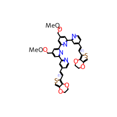 COOCc1cc(-c2cc(/C=C/c3scc4c3OCCO4)ccn2)nc(-c2cc(COOC)cc(-c3cc(/C=C/c4scc5c4OCCO5)ccn3)n2)c1